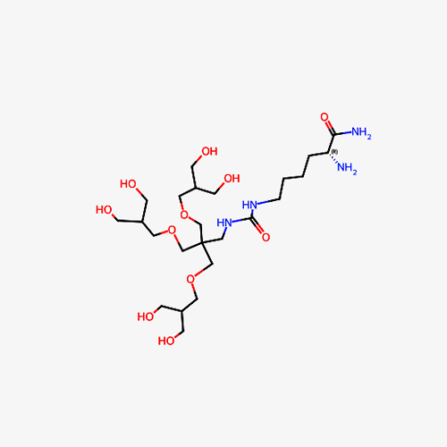 NC(=O)[C@H](N)CCCCNC(=O)NCC(COCC(CO)CO)(COCC(CO)CO)COCC(CO)CO